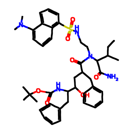 CCC(C)C(C(N)=O)N(CCNS(=O)(=O)c1cccc2c(N(C)C)cccc12)C(=O)C(Cc1ccccc1)CC(O)C(Cc1ccccc1)NC(=O)OC(C)(C)C